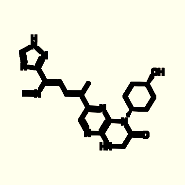 C=N/C(=C\C=C(/C)c1cnc2c(n1)N([C@H]1CC[C@H](O)CC1)C(=O)CN2)c1nc[nH]n1